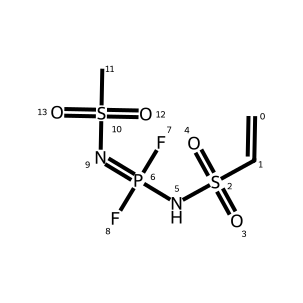 C=CS(=O)(=O)NP(F)(F)=NS(C)(=O)=O